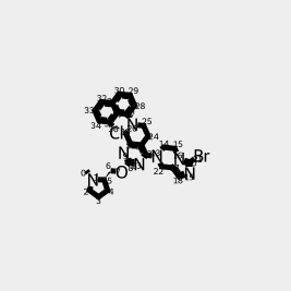 CN1CCC[C@H]1COc1nc2c(c(N3CCn4c(cnc4Br)C3)n1)CCN(c1cccc3cccc(Cl)c13)C2